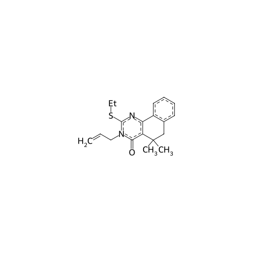 C=CCn1c(SCC)nc2c(c1=O)C(C)(C)Cc1ccccc1-2